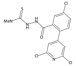 CNC(=S)NNC(=O)c1cc(Cl)ccc1-c1cc(Cl)nc(Cl)c1